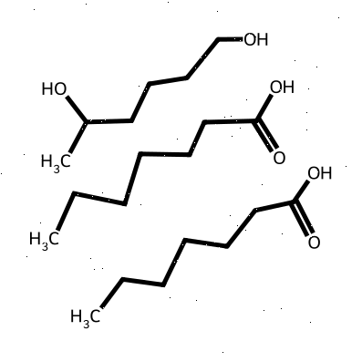 CC(O)CCCCO.CCCCCCC(=O)O.CCCCCCC(=O)O